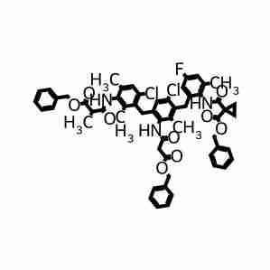 Cc1cc(F)cc(Cc2c(Cl)cc(Cc3c(Cl)cc(C)c(NC(=O)C(C)C(=O)OCc4ccccc4)c3C)c(NC(=O)CC(=O)OCc3ccccc3)c2C)c1NC(=O)C1(C(=O)OCc2ccccc2)CC1